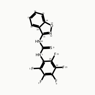 Fc1c(F)c(F)c(NC(=S)Nc2noc3ccccc23)c(F)c1F